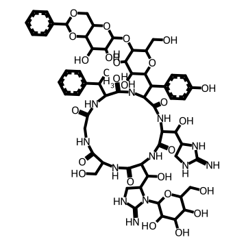 CC(c1ccccc1)C1NC(=O)CNC(=O)C(CO)NC(=O)C(C(O)C2CNC(=N)N2C2OC(CO)C(O)C(O)C2O)NC(=O)C(C(O)C2CNC(=N)N2)NC(=O)C(C(c2ccc(O)cc2)C2OC(CO)C(OC3OC4COC(c5ccccc5)OC4C(O)C3O)C(O)C2O)NC1=O